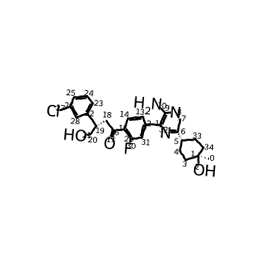 C[C@]1(O)CC[C@H](c2cnc(N)c(-c3ccc(C(=O)C[C@H](CO)c4cccc(Cl)c4)c(F)c3)n2)CC1